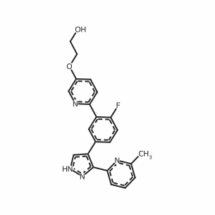 Cc1cccc(-c2n[nH]cc2-c2ccc(F)c(-c3ccc(OCCO)cn3)c2)n1